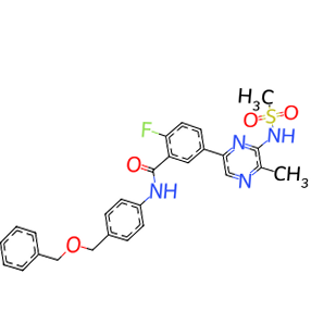 Cc1ncc(-c2ccc(F)c(C(=O)Nc3ccc(COCc4ccccc4)cc3)c2)nc1NS(C)(=O)=O